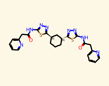 O=C(Cc1ccccn1)Nc1nnc([C@@H]2CCC[C@@H](c3nnc(NC(=O)Cc4ccccn4)s3)C2)s1